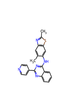 Cc1nc2cc(C)c(Nc3nc(-c4ccncc4)nc4ccccc34)cc2s1